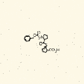 O=C(OCc1ccccc1)SN1CCC[C@H]1C(=O)SN1CCC[C@H]1C(=O)O